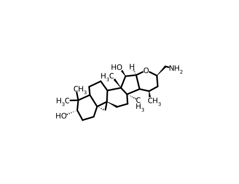 C[C@@H]1C[C@H](CN)O[C@H]2C1[C@@]1(C)CC[C@@]34C[C@@]35CC[C@H](O)C(C)(C)C5CCC4[C@]1(C)[C@H]2O